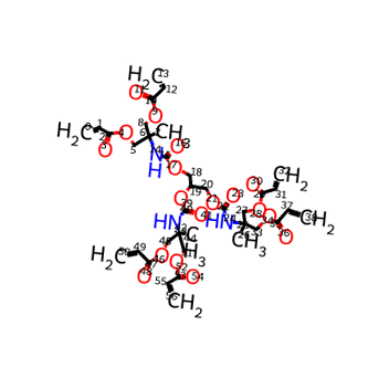 C=CC(=O)OCC(C)(COC(=O)C=C)NC(=O)OCC(COC(=O)NC(C)(COC(=O)C=C)COC(=O)C=C)OC(=O)NC(C)(COC(=O)C=C)COC(=O)C=C